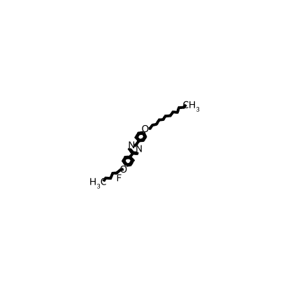 CCCCCCCCCCCCOc1ccc(-c2ncc(-c3ccc(OCC(F)CCCC)cc3)cn2)cc1